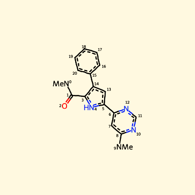 CNC(=O)c1[nH]c(-c2cc(NC)ncn2)cc1-c1ccccc1